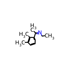 CC/N=C(/C)c1cccc(C)c1C